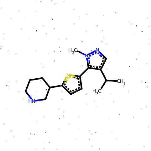 CC(C)c1cnn(C)c1-c1ccc(C2CCCNC2)s1